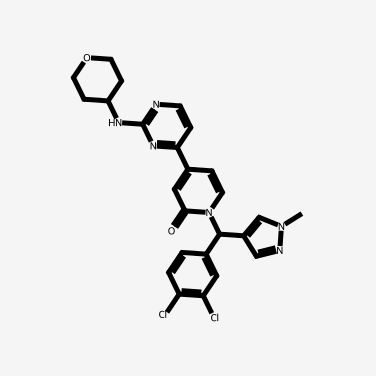 Cn1cc(C(c2ccc(Cl)c(Cl)c2)n2ccc(-c3ccnc(NC4CCOCC4)n3)cc2=O)cn1